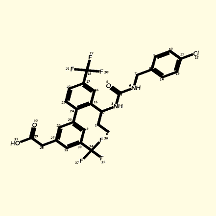 CCC(NC(=O)NCc1ccc(Cl)cc1)c1cc(C(F)(F)F)ccc1-c1cc(CC(=O)O)cc(C(F)(F)F)c1